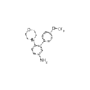 Nc1ccc(N2CCOCC2)c(-c2ccc(OC(F)(F)F)cc2)c1